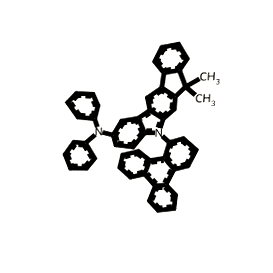 CC1(C)c2ccccc2-c2cc3c4cc(N(c5ccccc5)c5ccccc5)ccc4n(-c4cccc5c6ccccc6c6ccccc6c45)c3cc21